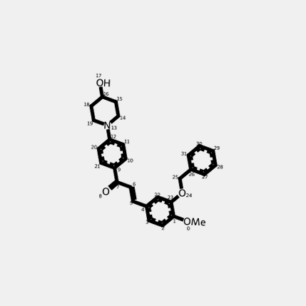 COc1ccc(C=CC(=O)c2ccc(N3CCC(O)CC3)cc2)cc1OCc1ccccc1